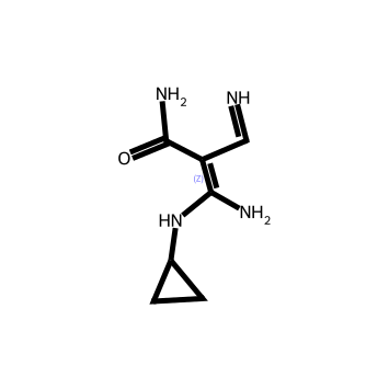 N=C/C(C(N)=O)=C(\N)NC1CC1